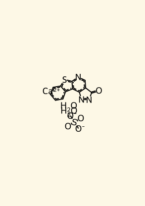 O.O.O=C1N=Nc2c1cnc1sc3ccccc3c21.O=S(=O)([O-])[O-].[Ca+2]